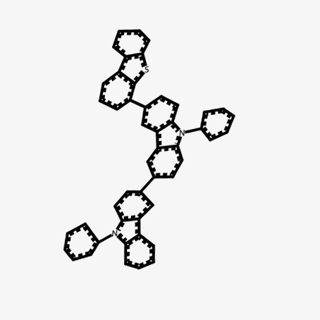 c1ccc(-n2c3ccccc3c3cc(-c4ccc5c(c4)c4cc(-c6cccc7c6sc6ccccc67)ccc4n5-c4ccccc4)ccc32)cc1